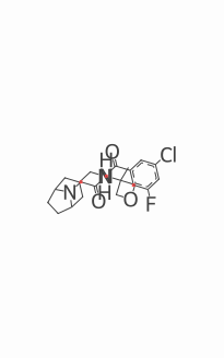 CC1(NC(=O)CN2C3CCC2CC(CNC(=O)c2cc(F)cc(Cl)c2)C3)COC1